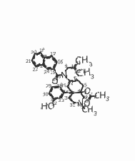 CC(=O)OC12CCC(N(CC(C)C)C(=O)c3ccc4ccccc4c3)CC1(c1cccc(O)c1)CCN(C)C2